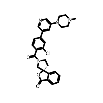 CN1CCN(c2cncc(-c3ccc(C(=O)N4CC[C@@]5(C4)OC(=O)c4ccccc45)c(Cl)c3)c2)CC1